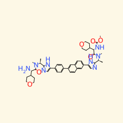 COC(=O)N[C@H](C(=O)N(C)[C@@H](C)c1ncc(-c2ccc3cc(-c4ccc(-c5cnc([C@H](C)N(C)C(=O)[C@@H](N)C6CCOCC6)[nH]5)cc4)ccc3c2)[nH]1)C1CCOCC1